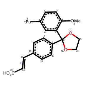 COc1ccc(C(C)(C)C)cc1C1(c2ccc(/C=C/C(=O)O)cc2)OCCO1